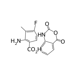 Cc1c(F)ccc(C(=O)O)c1N.O=c1[nH]c2ccccc2c(=O)o1